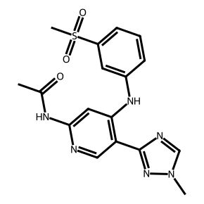 CC(=O)Nc1cc(Nc2cccc(S(C)(=O)=O)c2)c(-c2ncn(C)n2)cn1